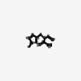 Cn1cc(CC(C=O)C(=O)O)cn1